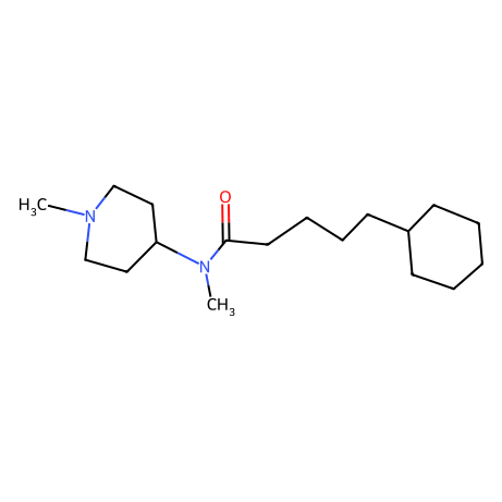 CN1CCC(N(C)C(=O)CCCCC2CCCCC2)CC1